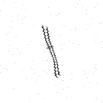 CCCCCCCCCCCCCCCCCCCCCCOC(=O)CCCCCCCCCCCCCCC.CCCCCCCCCCCCCCCCCCCCCCOC(=O)CCCCCCCCCCCCCCCCC